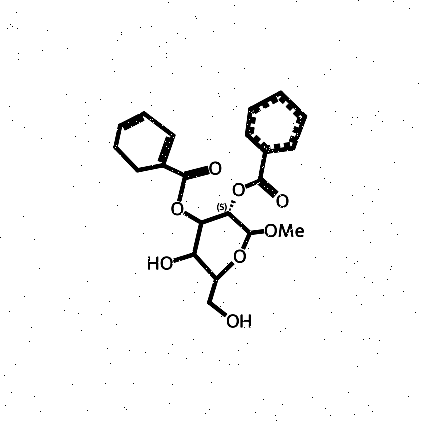 COC1OC(CO)C(O)C(OC(=O)C2=CC=CCC2)[C@@H]1OC(=O)c1ccccc1